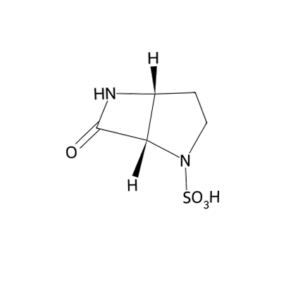 O=C1N[C@@H]2CCN(S(=O)(=O)O)[C@H]12